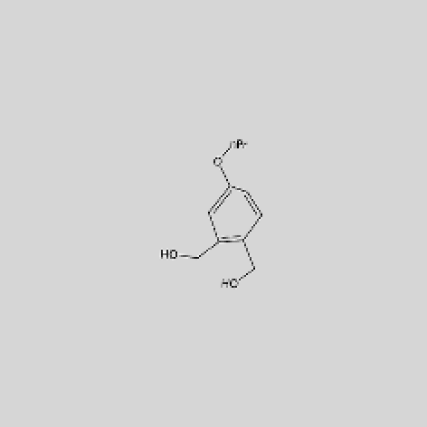 CCCOc1ccc(CO)c(CO)c1